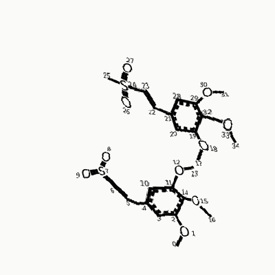 COc1cc(C=C=S(=O)=O)cc(OC)c1OC.COc1cc(C=CS(C)(=O)=O)cc(OC)c1OC